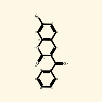 CC(=O)c1ccc2cc(C(=O)c3ccccc3)c(=O)oc2c1